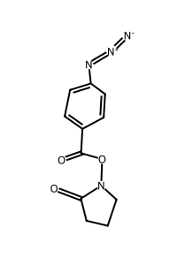 [N-]=[N+]=Nc1ccc(C(=O)ON2CCCC2=O)cc1